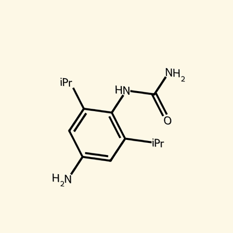 CC(C)c1cc(N)cc(C(C)C)c1NC(N)=O